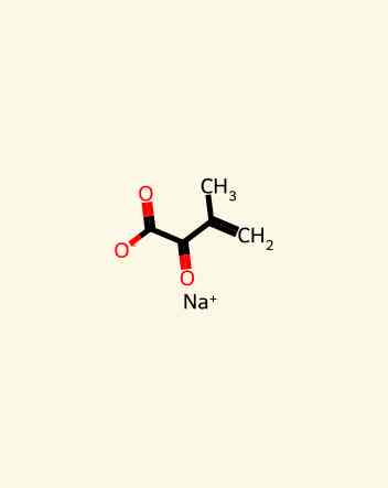 C=C(C)C(=O)C(=O)[O-].[Na+]